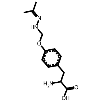 CC(C)=NNCOc1ccc(CC(N)C(=O)O)cc1